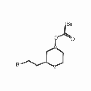 CC(C)(C)C(=O)ON1CCSC(CCBr)C1